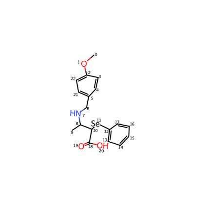 COc1ccc(CNC(C)C([Se]c2ccccc2)C(=O)O)cc1